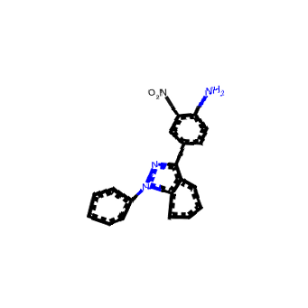 Nc1ccc(-c2nn(-c3ccccc3)c3ccccc23)cc1[N+](=O)[O-]